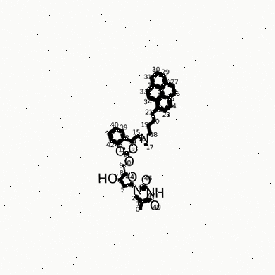 Cc1cn([C@H]2C[C@H](O)[C@@H](COC(=O)OC(CN(C)CCCCc3ccc4ccc5cccc6ccc3c4c56)c3ccccc3)O2)c(=O)[nH]c1=O